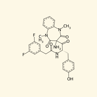 CN1C(=O)C(N)(C(=O)[C@H](Cc2ccc(O)cc2)NC(=O)Cc2cc(F)cc(F)c2)C(=O)N(C)c2ccccc21